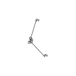 CC(C)CCCCCCCCCCCCCCCCCOC(=O)CC(=O)OCCCCCCCCCCCCCCCCCC(C)C